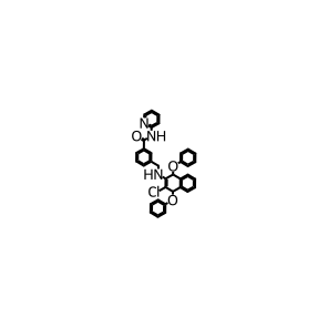 O=C(Nc1ccccn1)c1cccc(CNC2=C(Cl)C(Oc3ccccc3)c3ccccc3C2Oc2ccccc2)c1